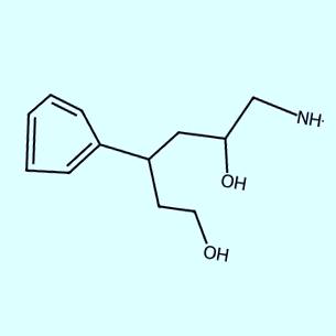 [NH]CC(O)CC(CCO)c1ccccc1